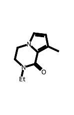 CCN1CCn2ccc(C)c2C1=O